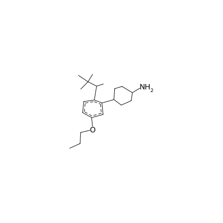 CCCOc1ccc(C(C)C(C)(C)C)c(C2CCC(N)CC2)c1